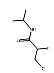 CC(C)NC(=O)C(Cl)CCl